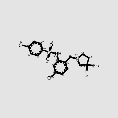 O=S(=O)(Nc1cc(Cl)ccc1CN1CCC(F)(F)C1)c1ccc(Cl)cc1